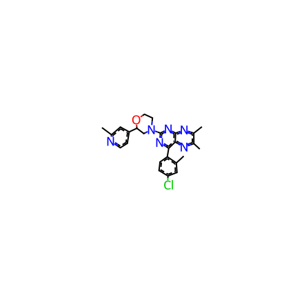 Cc1cc(C2CN(c3nc(-c4ccc(Cl)cc4C)c4nc(C)c(C)nc4n3)CCO2)ccn1